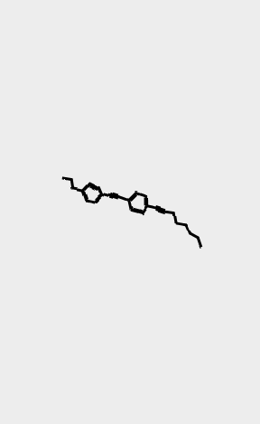 CCCCCCC#Cc1ccc(C#Cc2ccc(CCC)cc2)cc1